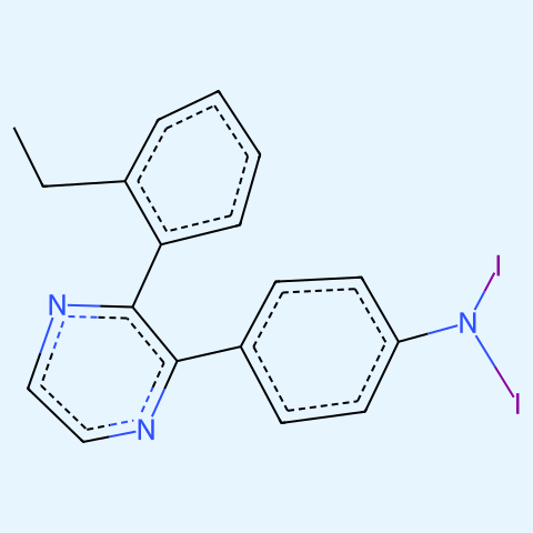 CCc1ccccc1-c1nccnc1-c1ccc(N(I)I)cc1